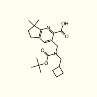 CC(C)(C)OC(=O)N(Cc1cc2c(nc1C(=O)O)C(C)(C)CC2)CC1CCC1